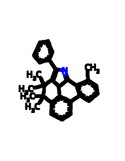 Cc1cccc2c1C1=NC(c3ccccc3)=C3C1c1c-2cccc1C(C)(C)C3(C)C